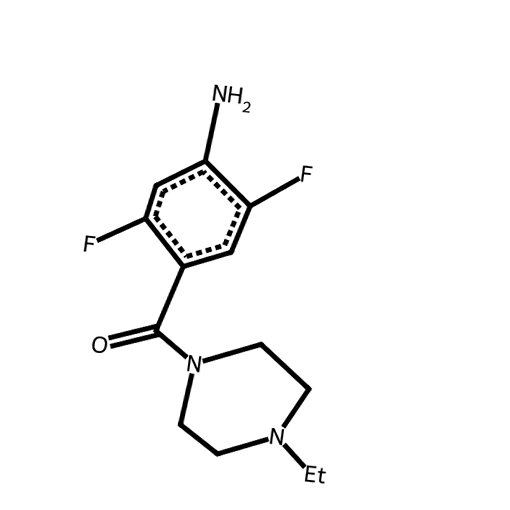 CCN1CCN(C(=O)c2cc(F)c(N)cc2F)CC1